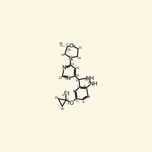 CCC1(Oc2ccc3c(c2)C(c2cc(N4CCO[C@@H](C)C4)ncn2)NN3)CC1